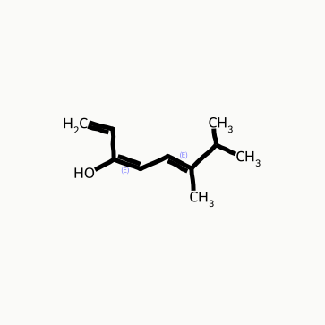 C=C/C(O)=C\C=C(/C)C(C)C